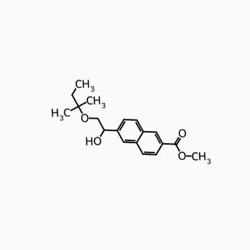 CCC(C)(C)OCC(O)c1ccc2cc(C(=O)OC)ccc2c1